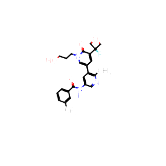 Cc1ncc(NC(=O)c2cccc(C(F)(F)F)c2)cc1-c1cc(C2(F)COC2)c(=O)n(CCCO)c1